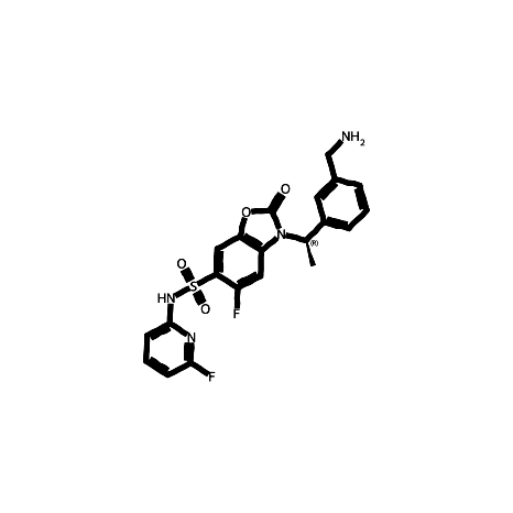 C[C@H](c1cccc(CN)c1)n1c(=O)oc2cc(S(=O)(=O)Nc3cccc(F)n3)c(F)cc21